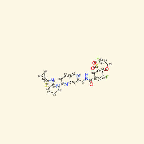 O=C(NCc1cc2nc(N3CCCc4sc(C5CC5)nc43)ccc2cn1)c1cc(F)c2c(c1)S(=O)(=O)[C@@H](F)CCO2